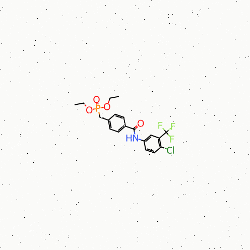 CCOP(=O)(Cc1ccc(C(=O)Nc2ccc(Cl)c(C(F)(F)F)c2)cc1)OCC